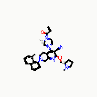 C=CC(=O)N1CCN(c2c(C#N)c(OC[C@@H]3CCCN3C)nc3c2CCN(c2cccc4cccc(C)c24)C3)C[C@@H]1C